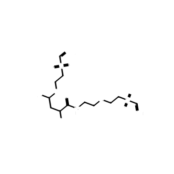 C=CS(=O)(=O)CCSCCNC(=O)C(C)CC(SCCS(=O)(=O)C=C)S(=O)(=O)O